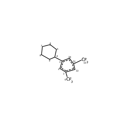 FC(F)(F)c1cc(C2C[CH]CCC2)cc(C(F)(F)F)c1